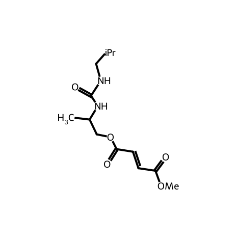 COC(=O)/C=C/C(=O)OCC(C)NC(=O)NCC(C)C